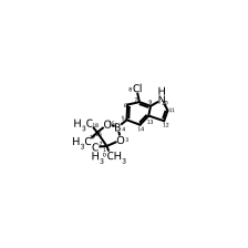 CC1(C)OB(c2cc(Cl)c3[nH]ccc3c2)OC1(C)C